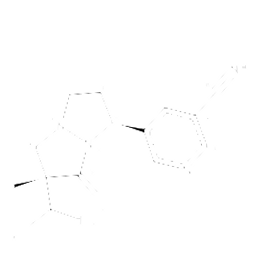 C[C@@]1(C(F)F)CN2CC[C@@H](c3cncc(C#N)c3)N2C1=O